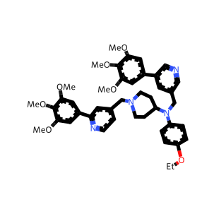 CCOc1ccc(N(Cc2cncc(-c3cc(OC)c(OC)c(OC)c3)c2)C2CCN(Cc3ccnc(-c4cc(OC)c(OC)c(OC)c4)c3)CC2)cc1